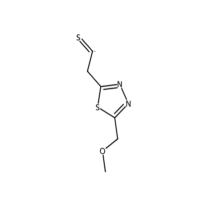 COCc1nnc(C[C]=S)s1